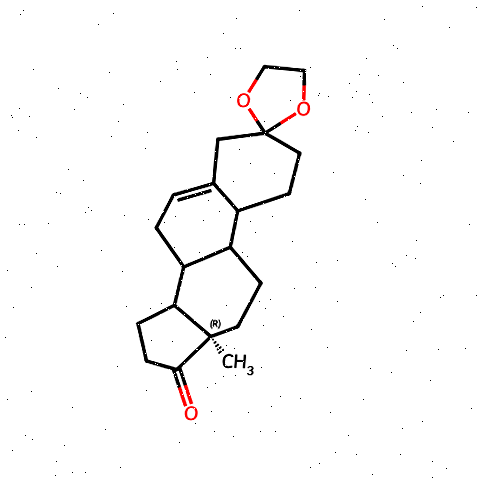 C[C@@]12CCC3C4CCC5(CC4=CCC3C1CCC2=O)OCCO5